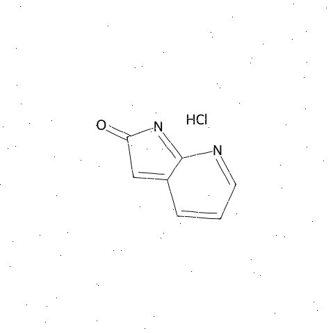 Cl.O=C1C=c2cccnc2=N1